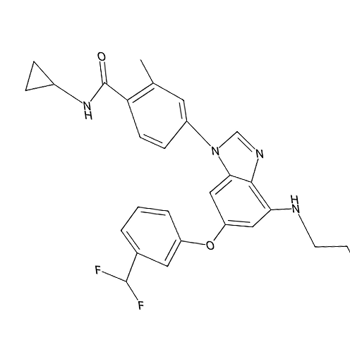 Cc1cc(-n2cnc3c(NCCC(F)(F)F)cc(Oc4cccc(C(F)F)c4)cc32)ccc1C(=O)NC1CC1